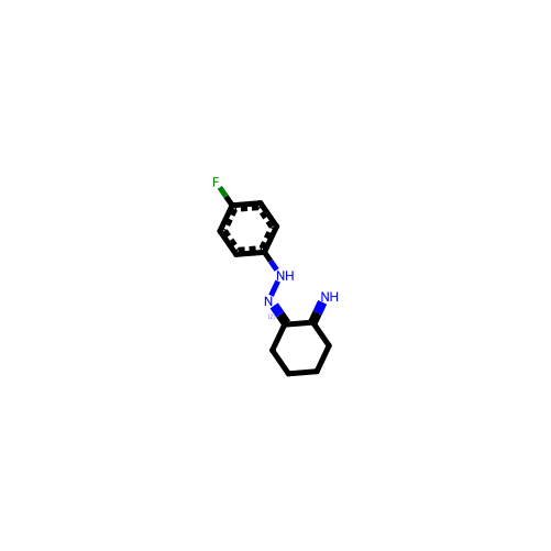 N=C1CCCC/C1=N/Nc1ccc(F)cc1